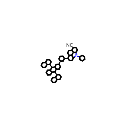 N#Cc1ccc2c3c1ccc1c(-c4cccc(-c5ccc6c(-c7cccc8ccccc78)c7ccccc7c(-c7cccc8ccccc78)c6c5)c4)ccc(c13)n2-c1ccccc1